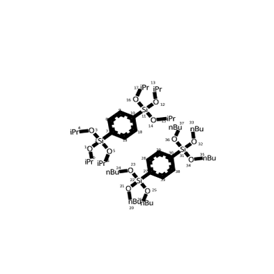 CC(C)O[Si](OC(C)C)(OC(C)C)c1ccc([Si](OC(C)C)(OC(C)C)OC(C)C)cc1.CCCCO[Si](OCCCC)(OCCCC)c1ccc([Si](OCCCC)(OCCCC)OCCCC)cc1